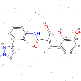 O=C(Nc1cccc(-c2ccn[nH]2)c1)c1cc2cccc(O)c2oc1=O